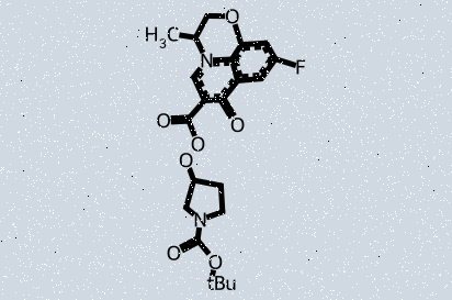 CC1COc2cc(F)cc3c(=O)c(C(=O)OOC4CCN(C(=O)OC(C)(C)C)C4)cn1c23